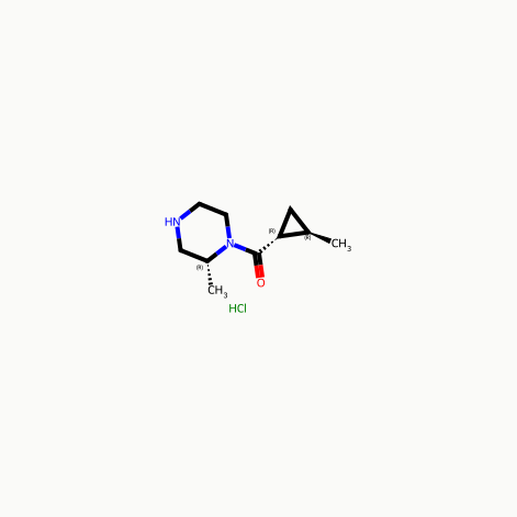 C[C@@H]1C[C@H]1C(=O)N1CCNC[C@H]1C.Cl